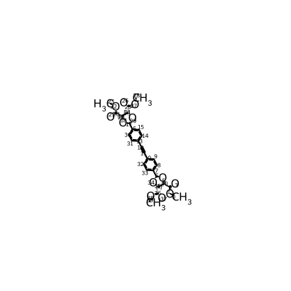 COC(=O)[C@@H]1OC(c2ccc(C#Cc3ccc(C4O[C@@H](C(=O)OC)[C@H](C(=O)OC)O4)cc3)cc2)O[C@H]1C(=O)OC